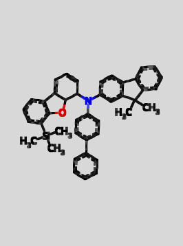 CC1(C)c2ccccc2-c2ccc(N(c3ccc(-c4ccccc4)cc3)C3C=CC=C4c5cccc([Si](C)(C)C)c5OC43)cc21